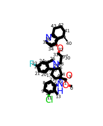 COC(=O)C1(Nc2cccc(Cl)c2C)CCC2(CC1)c1ccc(F)cc1CN2C[C@@H](C)COc1ccnc2c1[C@H](C)CCC2